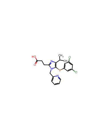 CC(C)c1nc(CCC(=O)O)n(Cc2ccccn2)c1Sc1cc(Cl)cc(Cl)c1